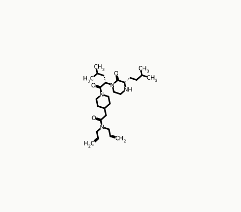 C=CCN(CC=C)C(=O)CC1CCN(C(=O)[C@H](CC(C)C)N2CCN[C@@H](CCC(C)C)C2=O)CC1